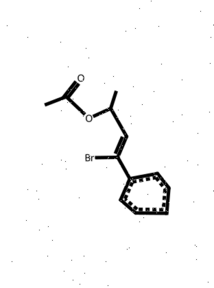 CC(=O)OC(C)C=C(Br)c1ccccc1